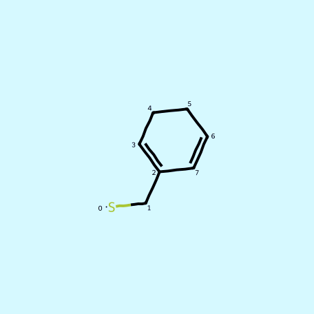 [S]CC1=CCCC=C1